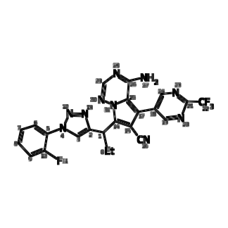 CCC(c1cn(-c2ccccc2F)nn1)c1c(C#N)c(-c2cnc(C(F)(F)F)nc2)c2c(N)ncnn12